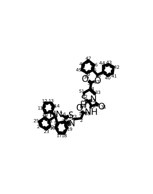 O=C(Cc1nnc(NC(c2ccccc2)(c2ccccc2)c2ccccc2)s1)NC1C(=O)N2C=C(C(=O)OC(c3ccccc3)c3ccccc3)CS[C@H]12